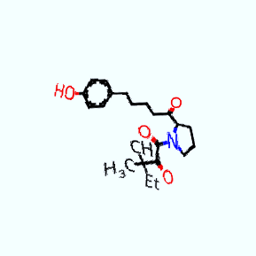 CCC(C)(C)C(=O)C(=O)N1CCCC1C(=O)CCCCc1ccc(O)cc1